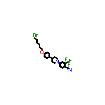 N#Cc1ccc(N2CCC(c3ccc(OCCCCCCBr)cc3)CC2)cc1C(F)(F)F